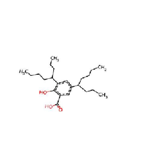 CCCCC(CCC)c1cc(C(=O)O)c(O)c(C(CCC)CCCC)c1